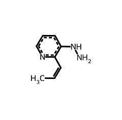 C/C=C\c1ncccc1NN